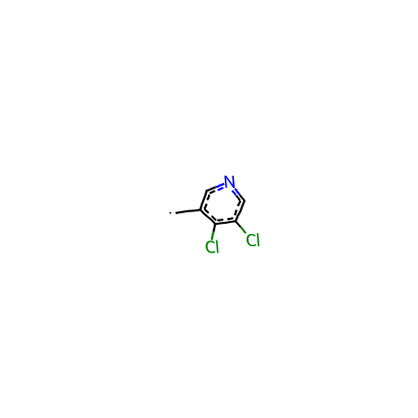 [CH2]c1cncc(Cl)c1Cl